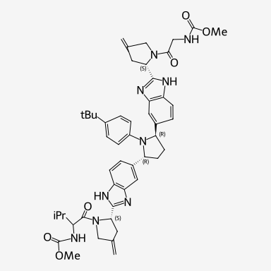 C=C1C[C@@H](c2nc3cc([C@H]4CC[C@H](c5ccc6[nH]c([C@@H]7CC(=C)CN7C(=O)C(NC(=O)OC)C(C)C)nc6c5)N4c4ccc(C(C)(C)C)cc4)ccc3[nH]2)N(C(=O)CNC(=O)OC)C1